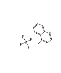 Cc1ccnc2ccccc12.F[B-](F)(F)F